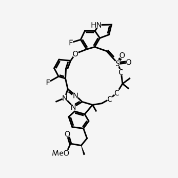 COC(=O)[C@H](C)Cc1cccc(C2(C)CCCC(C)(C)CS(=O)(=O)/C=C/c3c(c(F)cc4[nH]ccc34)Oc3ccc(F)c(c3)-c3nc2nn3C)c1